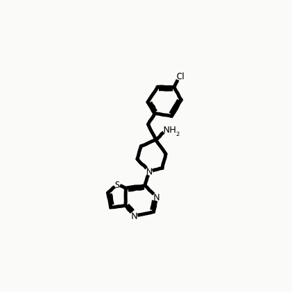 NC1(Cc2ccc(Cl)cc2)CCN(c2ncnc3ccsc23)CC1